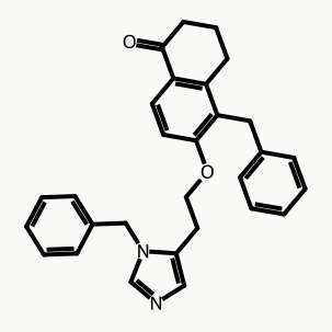 O=C1CCCc2c1ccc(OCCc1cncn1Cc1ccccc1)c2Cc1ccccc1